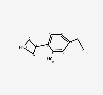 CCc1ccc(C2CNC2)cc1.Cl